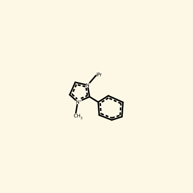 CC(C)n1cc[n+](C)c1-c1ccccc1